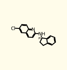 Clc1ccc2nc(N[C@@H]3CCc4ccccc43)ccc2c1